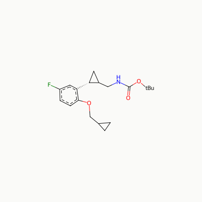 CC(C)(C)OC(=O)NCC1C[C@H]1c1cc(F)ccc1OCC1CC1